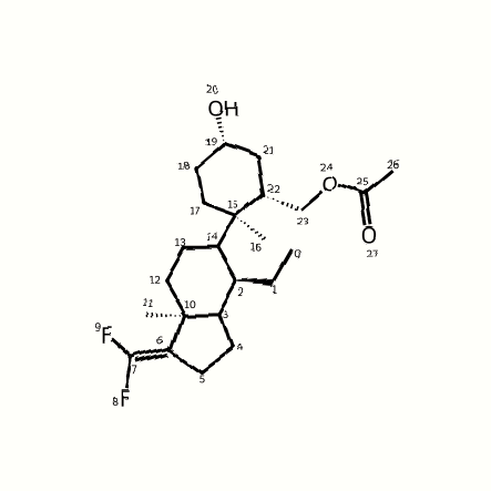 CC[C@H]1C2CCC(=C(F)F)[C@@]2(C)CCC1[C@@]1(C)CC[C@H](O)C[C@@H]1COC(C)=O